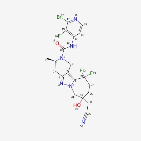 C[C@@H]1Cc2nn3c(c2CN1C(=O)Nc1ccnc(Br)c1F)C(F)(F)CCC(O)(CC#N)C3